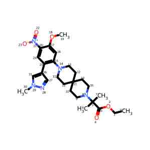 CCOC(=O)C(C)(C)N1CCC2(CCN(c3cc(OC)c([N+](=O)[O-])cc3-c3cnn(C)c3)CC2)CC1